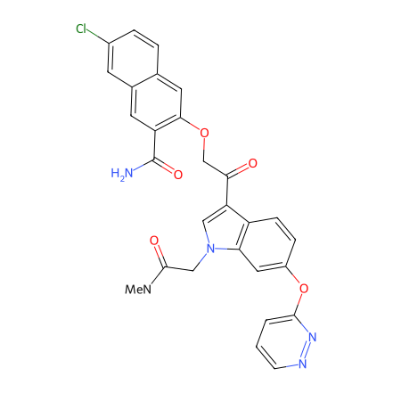 CNC(=O)Cn1cc(C(=O)COc2cc3ccc(Cl)cc3cc2C(N)=O)c2ccc(Oc3cccnn3)cc21